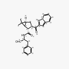 CC1(C)C2[C@@H](C(=O)N[C@H](C=O)Cc3ccccc3)N(C(=O)c3cc4ccccn4n3)C[C@@H]21